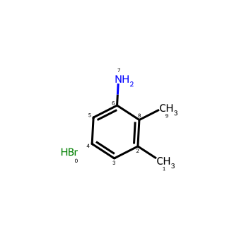 Br.Cc1cccc(N)c1C